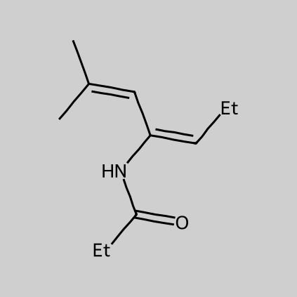 CC/C=C(\C=C(C)C)NC(=O)CC